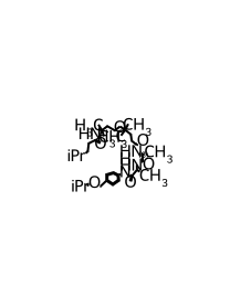 CC(C)CCC(=O)NC(C)(C)CCOC(C)(C)CCC(=O)N[C@@H](C)C(=O)NC(C)C(=O)Nc1ccc(COC(C)C)cc1